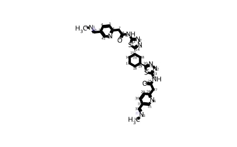 C/N=C/c1ccc(CC(=O)Nc2nnc([C@H]3CCC[C@H](c4nnc(NC(=O)Cc5ccc(/C=N/C)cn5)s4)C3)s2)nc1